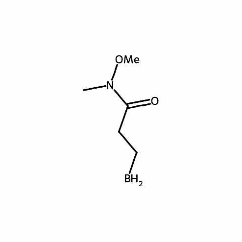 BCCC(=O)N(C)OC